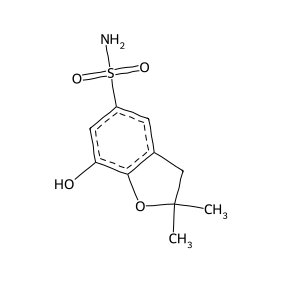 CC1(C)Cc2cc(S(N)(=O)=O)cc(O)c2O1